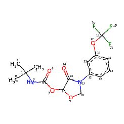 CC(C)(C)NC(=O)OC1OCN(c2cccc(OC(F)(F)F)c2)C1=O